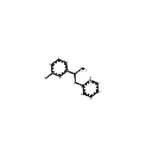 Cc1cccc(C(N)Cc2ccccn2)c1